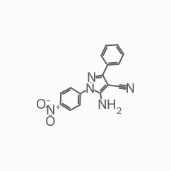 N#Cc1c(-c2ccccc2)nn(-c2ccc([N+](=O)[O-])cc2)c1N